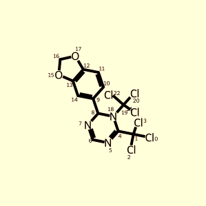 ClC(Cl)(Cl)C1=NC=NC(c2ccc3c(c2)OCO3)N1C(Cl)(Cl)Cl